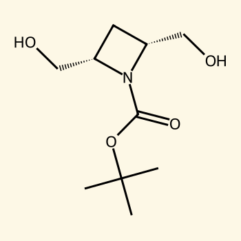 CC(C)(C)OC(=O)N1[C@H](CO)C[C@@H]1CO